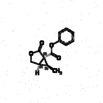 C[C@H]1[C@H]2COC(=O)[C@]21C(=O)Oc1ccccc1